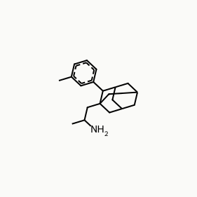 Cc1cccc(C2C3CC4CC(C3)CC2(CC(C)N)C4)c1